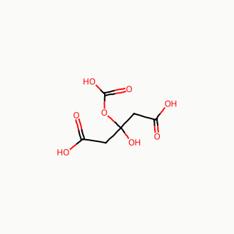 O=C(O)CC(O)(CC(=O)O)OC(=O)O